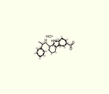 CC(NC1CCCc2c1[nH]c1ccc([N+](=O)[O-])cc21)c1ccccc1.Cl